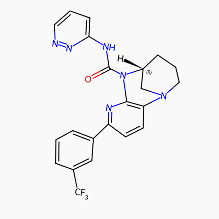 O=C(Nc1cccnn1)N1c2nc(-c3cccc(C(F)(F)F)c3)ccc2N2CCC[C@@H]1C2